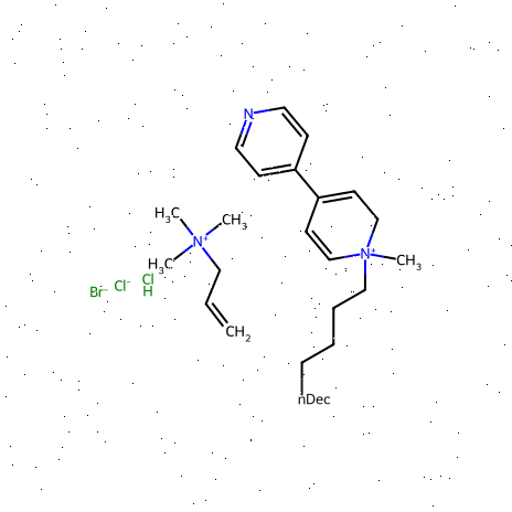 C=CC[N+](C)(C)C.CCCCCCCCCCCCCC[N+]1(C)C=CC(c2ccncc2)=CC1.Cl.[Br-].[Cl-]